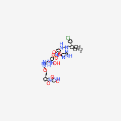 CC1(C)CCC(CNCCNc2ccc(C(=O)NS(=O)(=O)c3ccc(NCc4cn(CCOCC#Cc5cccc6c5CN(C5CCC(=O)NC5=O)C6=O)nn4)c(NO)c3)c(Oc3cnc4[nH]ccc4c3)c2)=C(c2ccc(Cl)cc2)C1